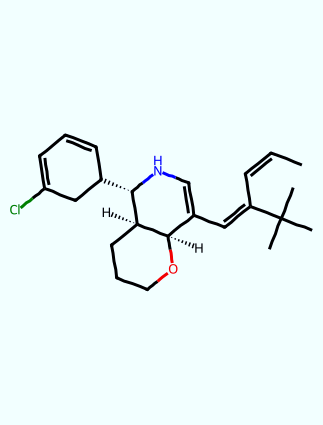 C/C=C\C(=C/C1=CN[C@@H](C2C=CC=C(Cl)C2)[C@@H]2CCCO[C@H]12)C(C)(C)C